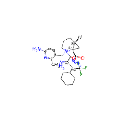 Cc1nc(N)ccc1C[N+]1(C(=O)[C@H](N)[C@H](C2CCCCC2)C(F)(F)F)CCC[C@@H]2C[C@@]21C(N)=O